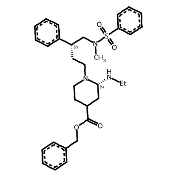 CCN[C@@H]1CC(C(=O)OCc2ccccc2)CCN1CC[C@@H](CN(C)S(=O)(=O)c1ccccc1)c1ccccc1